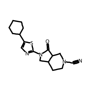 N#CN1CCC2CN(c3ncc(C4CCCCC4)s3)C(=O)C2C1